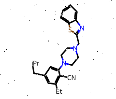 CCc1cc(CC(C)C)cc(N2CCN(Cc3nc4ccccc4s3)CC2)c1C#N